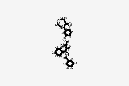 Cc1c(COc2cccc(N3CCOCCC3=O)c2)nc2ccccc2c1OCc1ccccc1